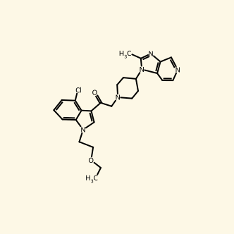 CCOCCn1cc(C(=O)CN2CCC(n3c(C)nc4cnccc43)CC2)c2c(Cl)cccc21